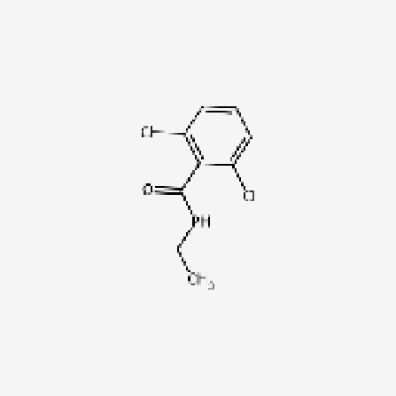 CCPC(=O)c1c(Cl)cccc1Cl